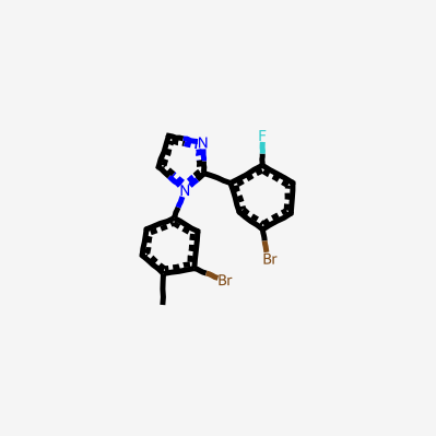 Cc1ccc(-n2ccnc2-c2cc(Br)ccc2F)cc1Br